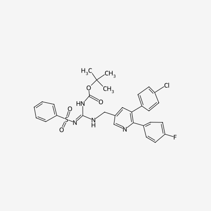 CC(C)(C)OC(=O)N/C(=N\S(=O)(=O)c1ccccc1)NCc1cnc(-c2ccc(F)cc2)c(-c2ccc(Cl)cc2)c1